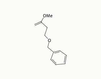 C=C(CCOCc1ccccc1)OC